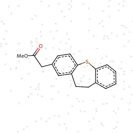 COC(=O)Cc1ccc2c(c1)CCc1ccccc1S2